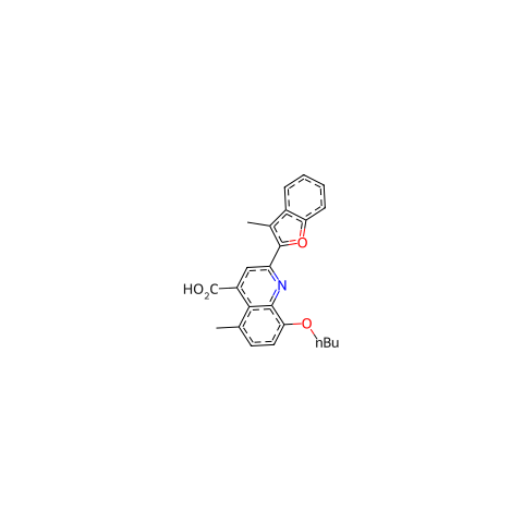 CCCCOc1ccc(C)c2c(C(=O)O)cc(-c3oc4ccccc4c3C)nc12